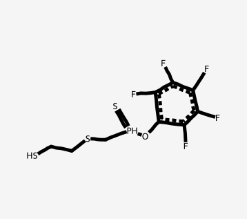 Fc1c(F)c(F)c(O[PH](=S)CSCCS)c(F)c1F